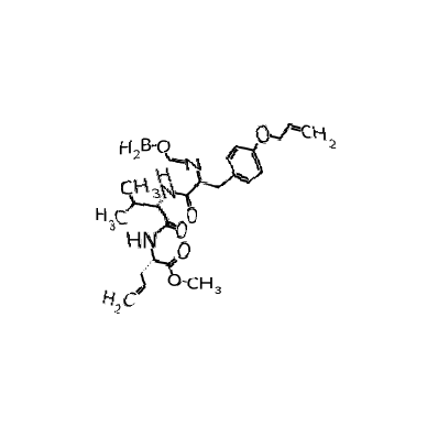 BOC=N[C@@H](Cc1ccc(OCC=C)cc1)C(=O)N[C@H](C(=O)N[C@@H](CC=C)C(=O)OC)C(C)C